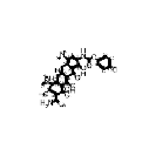 CN(C)c1cc(NC(=O)Oc2ccc(Cl)cc2)c(O)c2c1C[C@H]1C[C@H]3[C@H](N(C)C)C(O)=C(C(N)=O)C(=O)[C@@]3(O)C(O)=C1C2=O